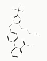 CCCCc1nc(C(C)(F)F)nn1Cc1ccc(-c2ccccc2C(=O)O)cc1